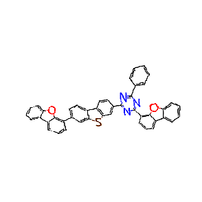 c1ccc(-c2nc(-c3ccc4c(c3)sc3cc(-c5cccc6c5oc5ccccc56)ccc34)nc(-c3cccc4c3oc3ccccc34)n2)cc1